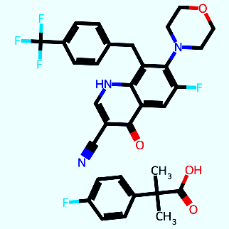 CC(C)(C(=O)O)c1ccc(F)cc1.N#Cc1c[nH]c2c(Cc3ccc(C(F)(F)F)cc3)c(N3CCOCC3)c(F)cc2c1=O